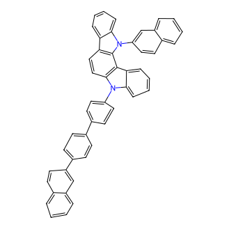 c1ccc2cc(-c3ccc(-c4ccc(-n5c6ccccc6c6c5ccc5c7ccccc7n(-c7ccc8ccccc8c7)c56)cc4)cc3)ccc2c1